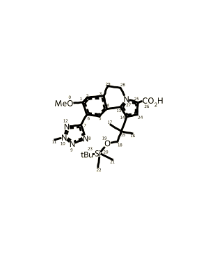 COc1cc2c(cc1-c1nnn(C)n1)-c1c(C(C)(C)CO[Si](C)(C)C(C)(C)C)cc(C(=O)O)n1CC2